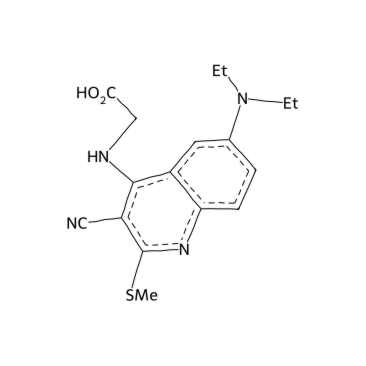 CCN(CC)c1ccc2nc(SC)c(C#N)c(NCC(=O)O)c2c1